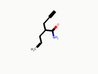 [C]#CCC(CC=C)C(N)=O